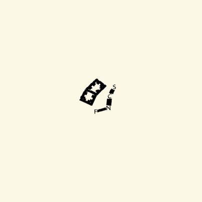 FN=C=S.c1cc2ccc1-2